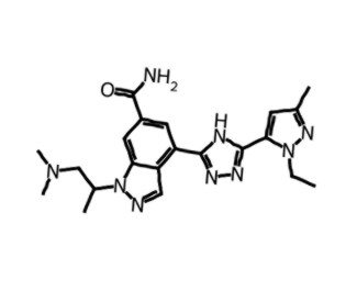 CCn1nc(C)cc1-c1nnc(-c2cc(C(N)=O)cc3c2cnn3C(C)CN(C)C)[nH]1